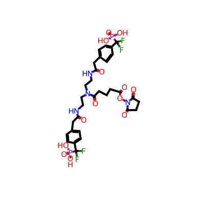 O=C(Cc1ccc(C(F)(F)P(=O)(O)O)cc1)NCCN(CCNC(=O)Cc1ccc(C(F)(F)P(=O)(O)O)cc1)C(=O)CCCC(=O)ON1C(=O)CCC1=O